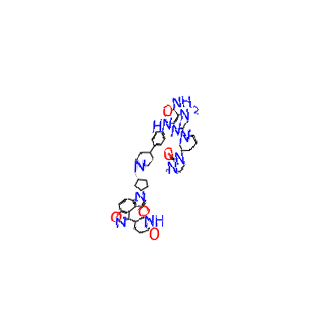 CN1CCN([C@@H]2CCCN(c3cnc(C(N)=O)c(Nc4ccc(C5CCN(C[C@@H]6CCC(n7ccc8c9c(C%10CCC(=O)NC%10=O)noc9ccc87)C6)CC5)cc4)n3)C2)C1=O